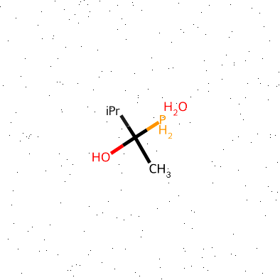 CC(C)C(C)(O)P.O